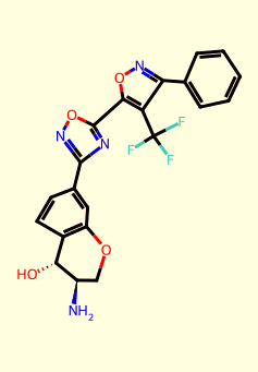 N[C@@H]1COc2cc(-c3noc(-c4onc(-c5ccccc5)c4C(F)(F)F)n3)ccc2[C@H]1O